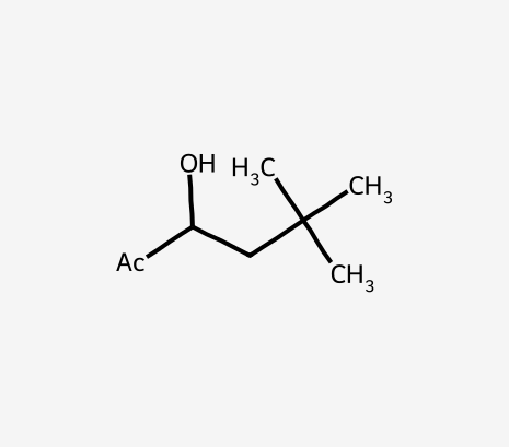 CC(=O)C(O)CC(C)(C)C